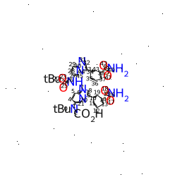 CC(C)(C)N(C(=O)O)c1ccc2ncc(-c3cccc(S(N)(=O)=O)c3)n2c1.CC(C)(C)OC(=O)Nc1ccc2ncc(-c3cccc(S(N)(=O)=O)c3)n2c1